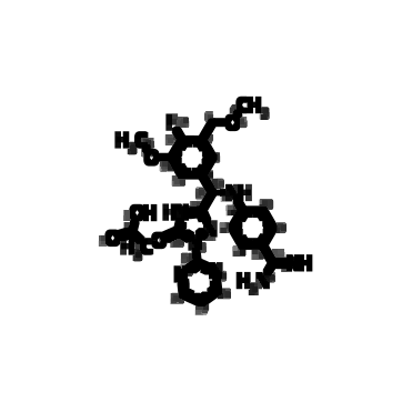 CC(=O)O.COCc1cc([C@H](Nc2ccc(C(=N)N)cc2)c2nn(-c3ncccn3)c(=O)[nH]2)cc(OC)c1F